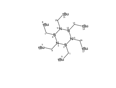 CC(C)(C)CB1N(CC(C)(C)C)B(CC(C)(C)C)N(CC(C)(C)C)B(CC(C)(C)C)N1CC(C)(C)C